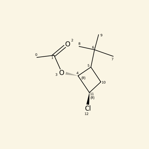 CC(=O)O[C@@H]1C(C(C)(C)C)C[C@H]1Cl